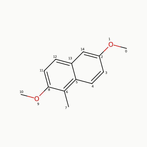 COc1ccc2c(C)c(OC)ccc2c1